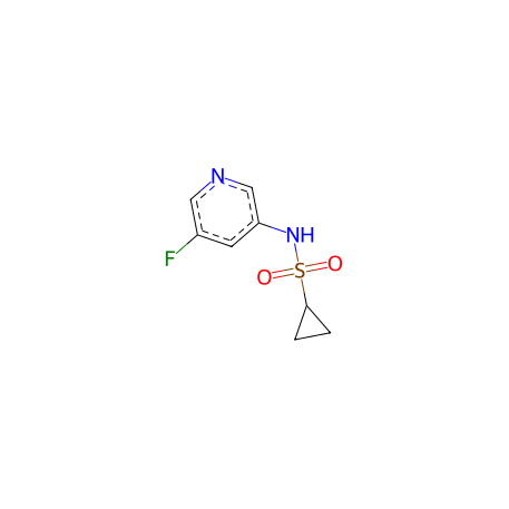 O=S(=O)(Nc1cncc(F)c1)C1CC1